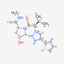 CNC(=O)C1CC(O)CN1C(=O)[C@@H](C(C)C)n1cc(-c2nccs2)nn1